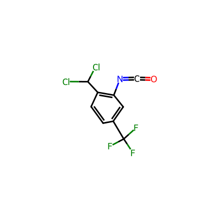 O=C=Nc1cc(C(F)(F)F)ccc1C(Cl)Cl